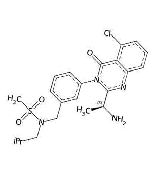 CC(C)CN(Cc1cccc(-n2c([C@H](C)N)nc3cccc(Cl)c3c2=O)c1)S(C)(=O)=O